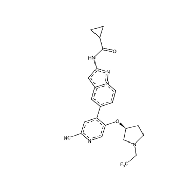 N#Cc1cc(-c2ccn3nc(NC(=O)C4CC4)cc3c2)c(O[C@H]2CCN(CC(F)(F)F)C2)cn1